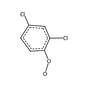 [O]Oc1ccc(Cl)cc1Cl